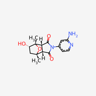 C[C@@]12O[C@@](C)(C[C@@H]1O)[C@H]1C(=O)N(c3ccnc(N)c3)C(=O)[C@H]12